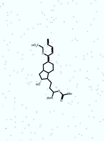 C=C/C=C\C(OCC(=O)O)=C1/CCC2C(C1)C[C@@H](O)C2CCC(NC)OC(=O)C(C)CC